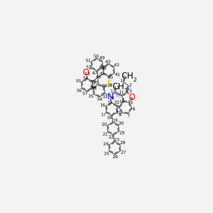 C=C/C=c1/oc2ccccc2/c1=C(/C)N(c1ccc(-c2ccc(-c3ccccc3)cc2)cc1)c1cccc2c1Sc1ccccc1C21c2ccccc2Oc2ccccc21